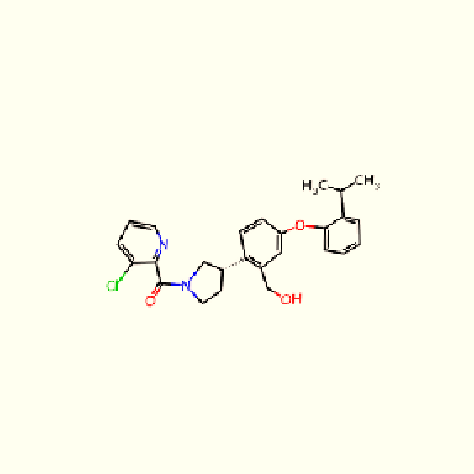 CC(C)c1ccccc1Oc1ccc([C@@H]2CCN(C(=O)c3ncccc3Cl)C2)c(CO)c1